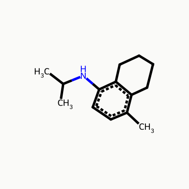 Cc1ccc(NC(C)C)c2c1CCCC2